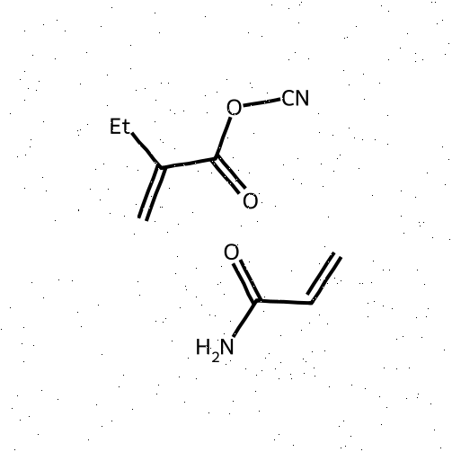 C=C(CC)C(=O)OC#N.C=CC(N)=O